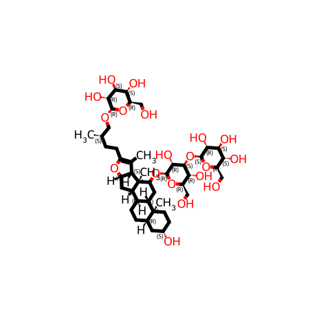 CC1=C(CC[C@H](C)CO[C@@H]2O[C@H](CO)[C@@H](O)[C@H](O)[C@H]2O)O[C@H]2C[C@H]3[C@@H]4CC[C@@H]5C[C@@H](O)CC[C@]5(C)[C@H]4CC(O[C@@H]4O[C@H](CO)[C@@H](O)[C@H](O[C@@H]5O[C@H](CO)[C@@H](O)[C@H](O)[C@H]5O)[C@H]4O)[C@]3(C)[C@@H]12